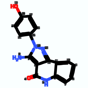 Nc1c2c(=O)[nH]c3ccccc3c2nn1-c1ccc(O)cc1